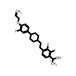 C=CCOc1ccc(C2CCC(CCc3ccc(C(C)O)c(F)c3F)CC2)cc1F